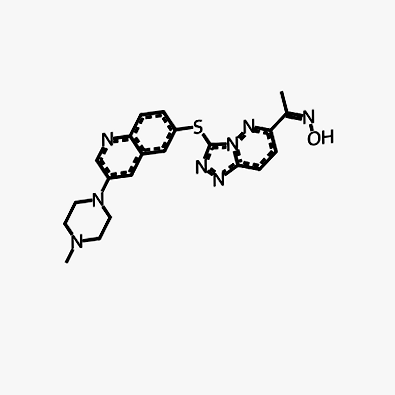 C/C(=N/O)c1ccc2nnc(Sc3ccc4ncc(N5CCN(C)CC5)cc4c3)n2n1